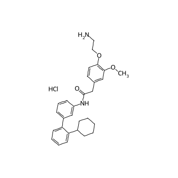 COc1cc(CC(=O)Nc2cccc(-c3ccccc3C3CCCCC3)c2)ccc1OCCN.Cl